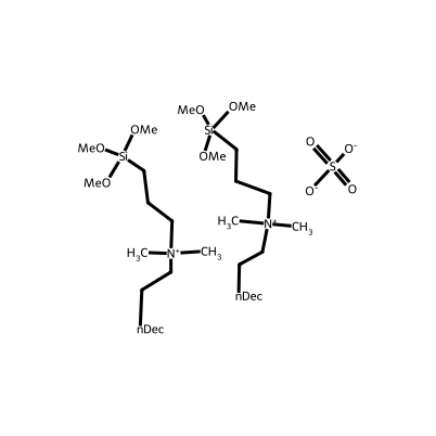 CCCCCCCCCCCC[N+](C)(C)CCC[Si](OC)(OC)OC.CCCCCCCCCCCC[N+](C)(C)CCC[Si](OC)(OC)OC.O=S(=O)([O-])[O-]